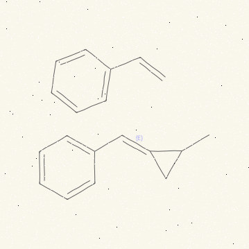 C=Cc1ccccc1.CC1C/C1=C\c1ccccc1